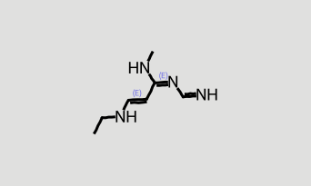 CCN/C=C/C(=N\C=N)NC